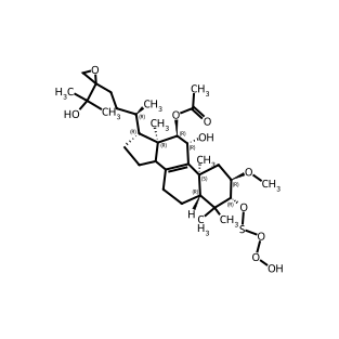 CO[C@@H]1C[C@]2(C)C3=C(CC[C@H]2C(C)(C)[C@H]1OSOOO)C1CC[C@H]([C@H](C)CCC2(C(C)(C)O)CO2)[C@@]1(C)[C@@H](OC(C)=O)[C@@H]3O